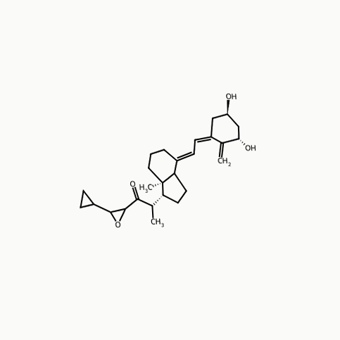 C=C1/C(=C\C=C2/CCC[C@@]3(C)C2CC[C@@H]3C(C)C(=O)C2OC2C2CC2)C[C@@H](O)C[C@@H]1O